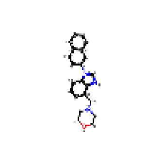 c1ccc2cc(-n3cnc4c(CN5CCOCC5)cccc43)ccc2c1